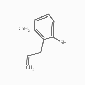 C=CCc1ccccc1S.[CaH2]